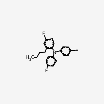 CCCCc1cc(F)ccc1B(c1ccc(F)cc1)c1ccc(F)cc1